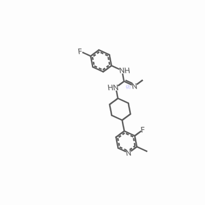 C/N=C(\Nc1ccc(F)cc1)NC1CCC(c2ccnc(C)c2F)CC1